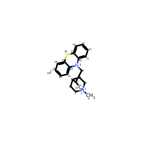 C[N+]12CCC(CC1)C(CN1c3ccccc3Sc3ccccc31)C2.[I-]